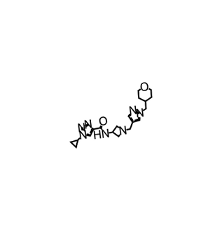 O=C(NC1CN(Cc2cnn(CC3CCOCC3)c2)C1)c1cn(C2CC2)nn1